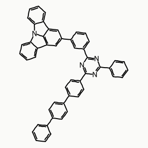 c1ccc(-c2ccc(-c3ccc(-c4nc(-c5ccccc5)nc(-c5cccc(-c6cc7c8ccccc8n8c9ccccc9c(c6)c78)c5)n4)cc3)cc2)cc1